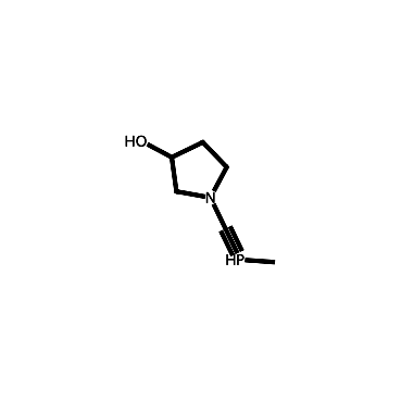 C[PH]#CN1CCC(O)C1